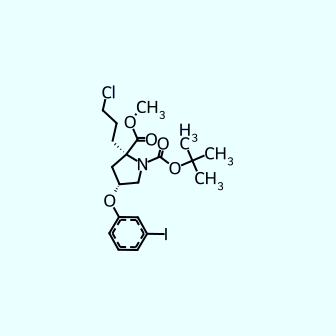 COC(=O)[C@]1(CCCCl)C[C@@H](Oc2cccc(I)c2)CN1C(=O)OC(C)(C)C